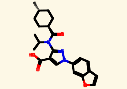 CC(C)N(c1nn(-c2ccc3ccoc3c2)cc1C(=O)O)C(=O)[C@H]1CC[C@H](C)CC1